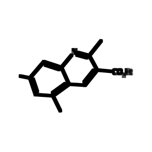 CCOC(=O)c1cc2c(C)cc(C)cc2nc1C